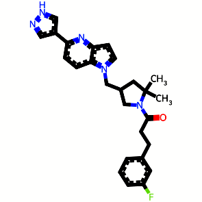 CC1(C)CC(Cn2ccc3nc(-c4cn[nH]c4)ccc32)CN1C(=O)CCc1cccc(F)c1